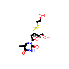 Cc1cn([C@H]2C[C@H](SSCCO)[C@@H](CO)O2)c(=O)[nH]c1=O